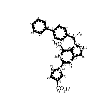 C[C@@H](c1ccc(-c2ccccc2)cc1)n1ncc2nc(-n3cc(C(=O)O)cn3)nc(O)c21